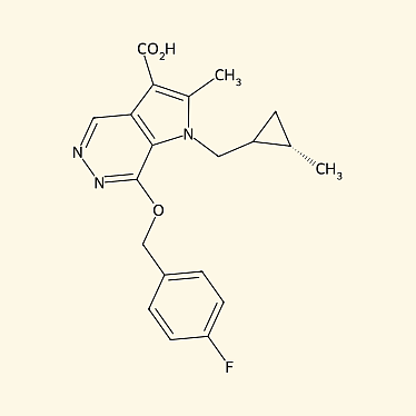 Cc1c(C(=O)O)c2cnnc(OCc3ccc(F)cc3)c2n1CC1C[C@@H]1C